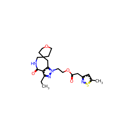 CCc1nn(CCOC(=O)Cc2cc(C)sn2)c2c1C(=O)NCC1(CCOCC1)C2